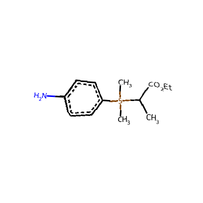 CCOC(=O)C(C)S(C)(C)c1ccc(N)cc1